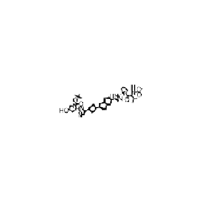 COC(=O)N[C@H](C(=O)N1CCC[C@H]1c1ncc(-c2ccc3cc(-c4ccc(-c5cnc([C@@H]6C[C@H](O)CN6C(=O)OC(C)(C)C)[nH]5)cc4)ccc3c2)[nH]1)C(C)C